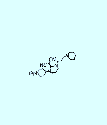 CC(C)N1CCC(N2C=CCN(CCCN3CCCCC3)C2=C(C#N)C#N)CC1